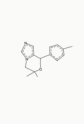 [CH2]c1ccc(C2OC(C)(C)Cn3cncc32)cc1